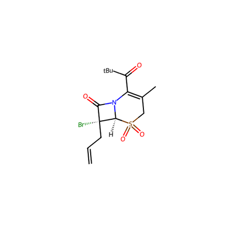 C=CC[C@@]1(Br)C(=O)N2C(C(=O)C(C)(C)C)=C(C)CS(=O)(=O)[C@H]21